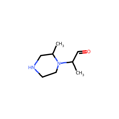 CC(C=O)N1CCNCC1C